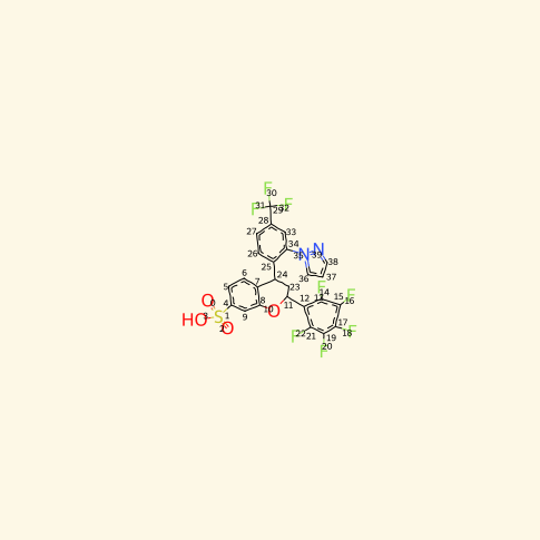 O=S(=O)(O)c1ccc2c(c1)OC(c1c(F)c(F)c(F)c(F)c1F)CC2c1ccc(C(F)(F)F)cc1-n1cccn1